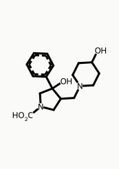 O=C(O)N1CC(CN2CCC(O)CC2)C(O)(c2ccccc2)C1